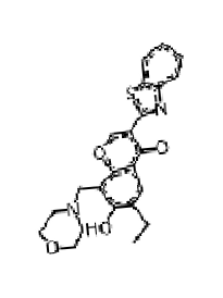 CCc1cc2c(=O)c(-c3nc4ccccc4s3)coc2c(CN2CCOCC2)c1O